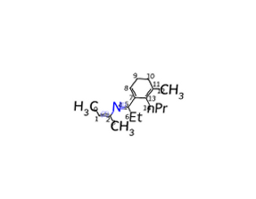 C/C=C(C)\N=C(/CC)C1=CCCC(C)=C1CCC